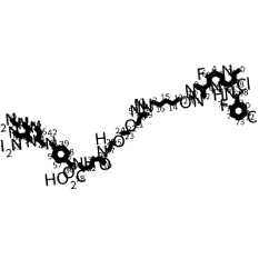 Cc1nc2cc(F)c(-c3cnc(OCCCCCn4cc(COCCOCCNC(=O)CC[C@H](NC(=O)c5ccc(N(C)Cc6cnc7nc(N)nc(N)c7n6)cc5)C(=O)O)nn4)nc3)nc2c(N[C@@H](C)c2cc(C#N)ccc2F)c1Cl